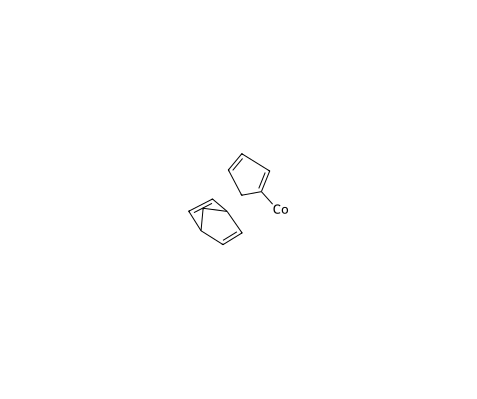 C1=CC2C=CC1C2.[Co][C]1=CC=CC1